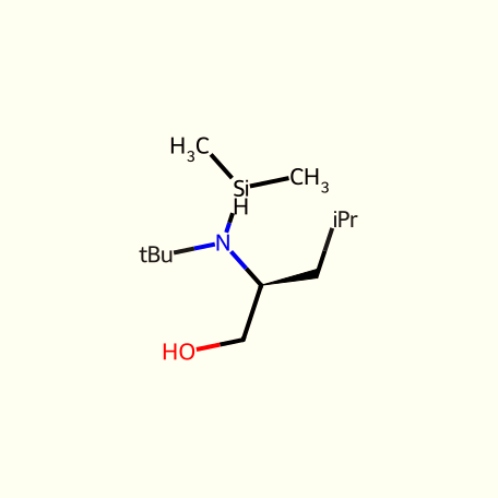 CC(C)C[C@@H](CO)N([SiH](C)C)C(C)(C)C